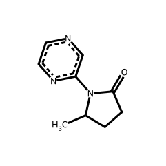 CC1CCC(=O)N1c1cnccn1